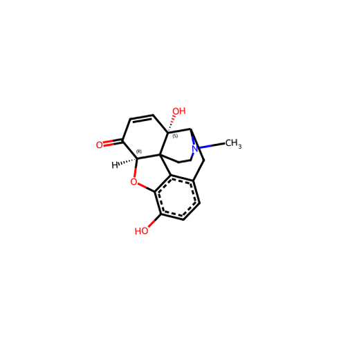 CN1CCC23c4c5ccc(O)c4O[C@H]2C(=O)C=C[C@@]3(O)C1C5